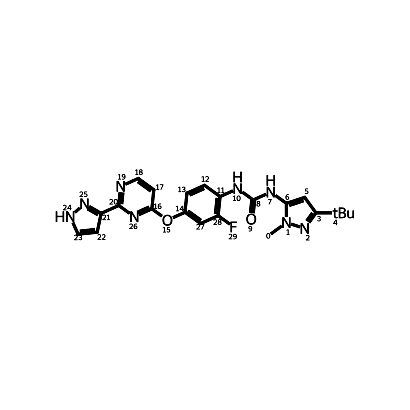 Cn1nc(C(C)(C)C)cc1NC(=O)Nc1ccc(Oc2ccnc(-c3cc[nH]n3)n2)cc1F